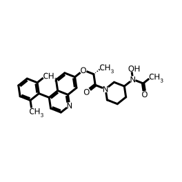 CC(=O)N(O)C1CCCN(C(=O)[C@@H](C)Oc2ccc3c(-c4c(C)cccc4C)ccnc3c2)C1